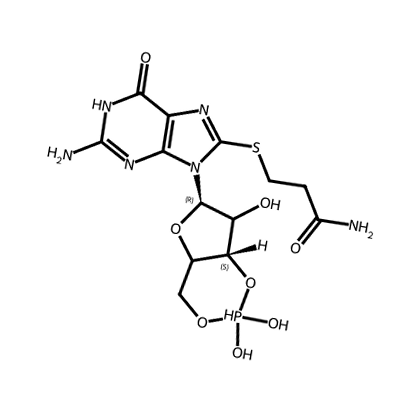 NC(=O)CCSc1nc2c(=O)[nH]c(N)nc2n1[C@@H]1OC2CO[PH](O)(O)O[C@H]2C1O